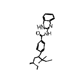 CCC(C)CC(c1ccc(C(=O)Nc2nc3ccccc3[nH]2)cc1)C(C)(C)CC